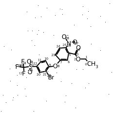 CCOC(=O)c1cc(Oc2ccc(S(=O)(=O)C(F)(F)F)cc2Br)ccc1[N+](=O)[O-]